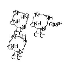 [C-]#CC1c2ccc([nH]2)C=C2C=CC(=N2)C=c2ccc([nH]2)=CC2=NC1(C#[C-])C=C2.[C-]#CC1c2ccc([nH]2)C=C2C=CC(=N2)C=c2ccc([nH]2)=CC2=NC1(C#[C-])C=C2.[C-]#CC1c2ccc([nH]2)C=C2C=CC(=N2)C=c2ccc([nH]2)=CC2=NC1(C#[C-])C=C2.[Ga+3].[Ga+3]